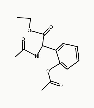 CCOC(=O)C(NC(C)=O)c1ccccc1OC(C)=O